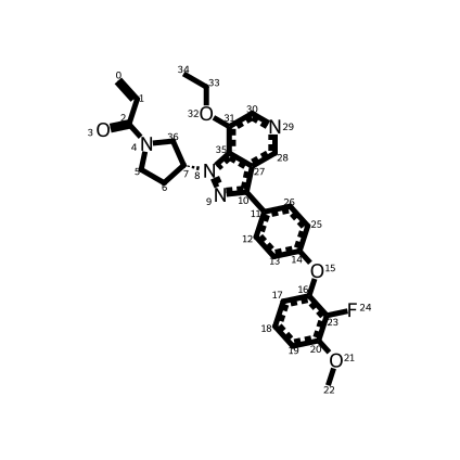 C=CC(=O)N1CC[C@@H](n2nc(-c3ccc(Oc4cccc(OC)c4F)cc3)c3cncc(OCC)c32)C1